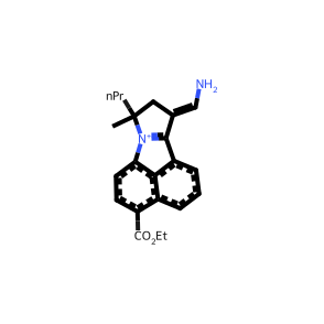 CCCC1(C)C/C(=C\N)C2=[N+]1c1ccc(C(=O)OCC)c3cccc2c13